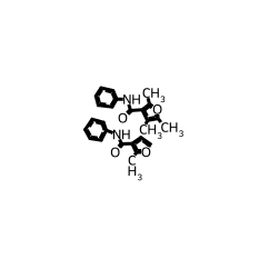 Cc1oc(C)c(C(=O)Nc2ccccc2)c1C.Cc1occc1C(=O)Nc1ccccc1